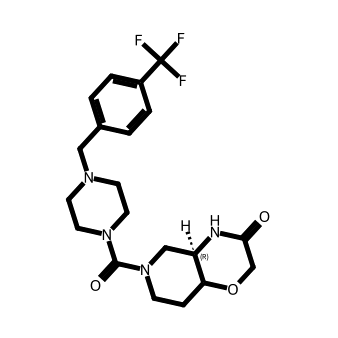 O=C1COC2CCN(C(=O)N3CCN(Cc4ccc(C(F)(F)F)cc4)CC3)C[C@H]2N1